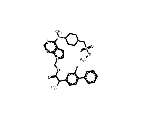 CNS(=O)(=O)CC1CCC(N(C)c2ncnc3c2ccn3COC(=O)C(C)c2ccc(-c3ccccc3)c(F)c2)CC1